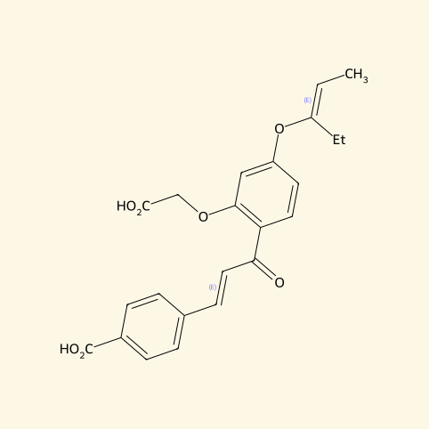 C/C=C(\CC)Oc1ccc(C(=O)/C=C/c2ccc(C(=O)O)cc2)c(OCC(=O)O)c1